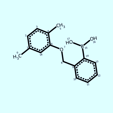 Cc1ccc(C)c(OCc2ccccc2B(O)O)c1